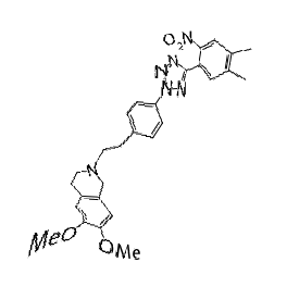 COc1cc2c(cc1OC)CN(CCc1ccc(-n3nnc(-c4cc(C)c(C)cc4[N+](=O)[O-])n3)cc1)CC2